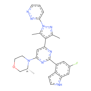 Cc1nn(-c2cccnn2)c(C)c1-c1cc(N2CCOC[C@H]2C)nc(-c2cc(F)cc3[nH]ccc23)n1